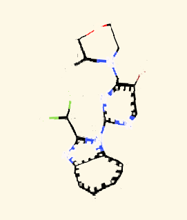 O=C(O)C1COCCN1c1nc(-n2c(C(F)F)nc3ccccc32)ncc1Br